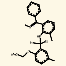 CCC(CC)(Pc1c(C)cccc1/C(=N/C)c1ccccc1)c1cc(C)ccc1OCSC